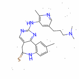 Cc1ccc2c(c1)-c1nc(Nc3cc(CCCN(C)C)cnc3C)ncc1CC(=S)N2